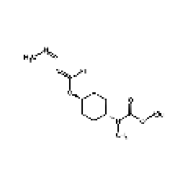 CC/C(=N\C=N/C)O[C@H]1CC[C@H](N(C)C(=O)OC(C)(C)C)CC1